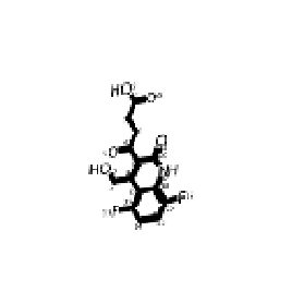 O=C(O)CCC(=O)c1c(CO)c2c(F)ccc(F)c2[nH]c1=O